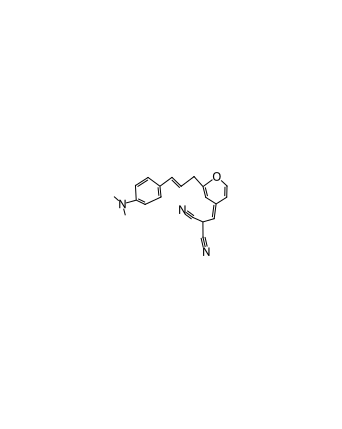 CN(C)c1ccc(C=CCC2=CC(=CC(C#N)C#N)C=CO2)cc1